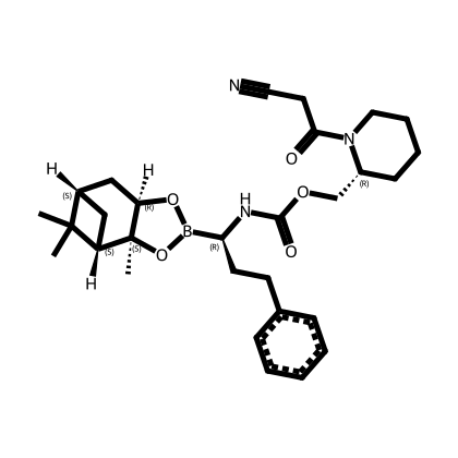 CC1(C)[C@@H]2C[C@H]3OB([C@H](CCc4ccccc4)NC(=O)OC[C@H]4CCCCN4C(=O)CC#N)O[C@@]3(C)[C@H]1C2